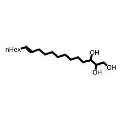 CCCCCCC=CCCCCCCCCC(O)C(O)CO